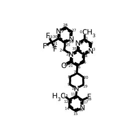 Cc1cnc2cc(C3CCN(c4c(C)ccnc4F)CC3)c(=O)n(Cc3nccnc3C(F)(F)F)c2n1